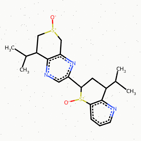 CC(C)C1CC(c2cnc3c(n2)C[S+]([O-])CC3C(C)C)[S+]([O-])c2cccnc21